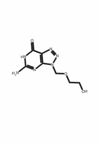 Nc1nc2c(nnn2COCCO)c(=O)[nH]1